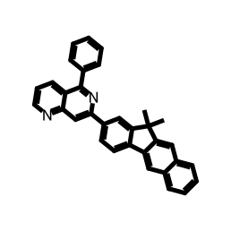 CC1(C)c2cc(-c3cc4ncccc4c(-c4ccccc4)n3)ccc2-c2cc3ccccc3cc21